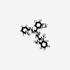 Cn1ccccc1=NN=C(N=Nc1n(C)c2ccccc2[n+]1C)c1ccccc1.[Cl-]